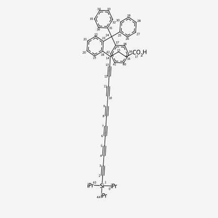 CC(C)[Si](C#CC#CC#CC#CC#CC#CC(CCC(=O)O)c1ccccc1C(c1ccccc1)(c1ccccc1)c1ccccc1)(C(C)C)C(C)C